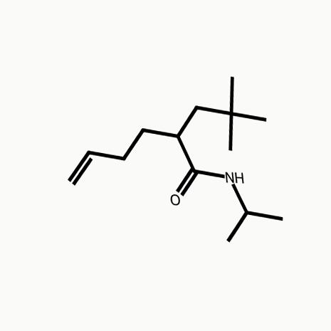 C=CCCC(CC(C)(C)C)C(=O)NC(C)C